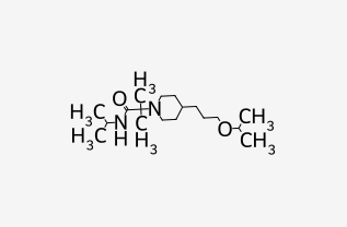 CC(C)NC(=O)C(C)(C)N1CCC(CCCOC(C)C)CC1